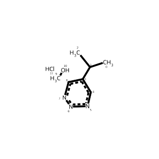 CC(C)c1cnnnc1.CO.Cl